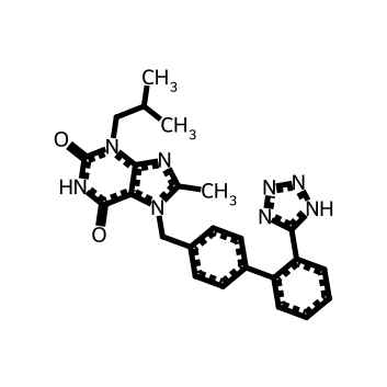 Cc1nc2c(c(=O)[nH]c(=O)n2CC(C)C)n1Cc1ccc(-c2ccccc2-c2nnn[nH]2)cc1